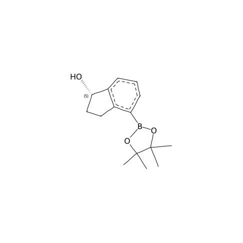 CC1(C)OB(c2cccc3c2CC[C@@H]3O)OC1(C)C